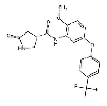 COc1ccc(Oc2ccc(C(F)(F)F)cc2)cc1NC(=O)[C@@H]1CNC(=O)C1